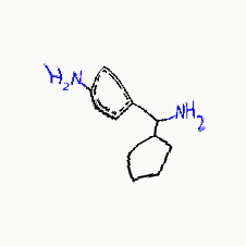 Nc1ccc(C(N)C2CCCC2)cc1